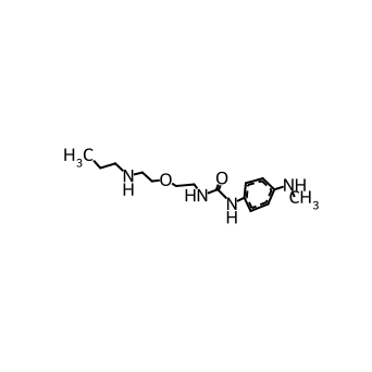 CCCNCCOCCNC(=O)Nc1ccc(NC)cc1